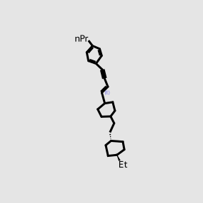 CCCc1ccc(C#C/C=C/C2CCC(CC[C@H]3CC[C@H](CC)CC3)CC2)cc1